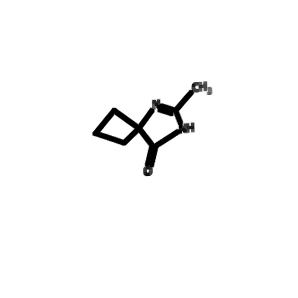 CC1=NC2(CCC2)C(=O)N1